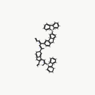 C=C/C=C(\C=C(/C)C1C=C2C(=CC1)CC(C=C)=C2/C=C(\C)n1c2c(c3ccccc31)CCC=C2)c1ccc2c(c1)-c1cc(-n3c4ccccc4c4ccccc43)ccc1C2